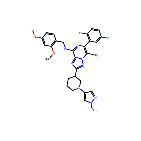 COc1ccc(CNc2nc(-c3cc(F)ccc3F)c(C)n3nc(C4CCCN(c5cnn(C)c5)C4)nc23)c(OC)c1